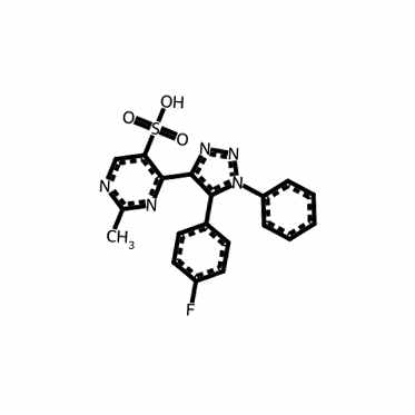 Cc1ncc(S(=O)(=O)O)c(-c2nnn(-c3ccccc3)c2-c2ccc(F)cc2)n1